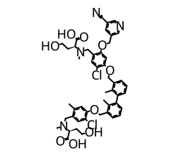 Cc1cc(OCc2cccc(-c3cccc(COc4cc(OCc5cncc(C#N)c5)c(CN(C)[C@@H](CCO)C(=O)O)cc4Cl)c3C)c2C)c(Cl)cc1CN(C)[C@@H](CCO)C(=O)O